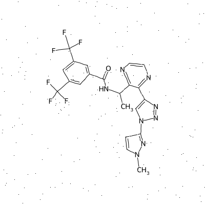 CC(NC(=O)c1cc(C(F)(F)F)cc(C(F)(F)F)c1)c1nccnc1-c1cn(-c2ccn(C)n2)nn1